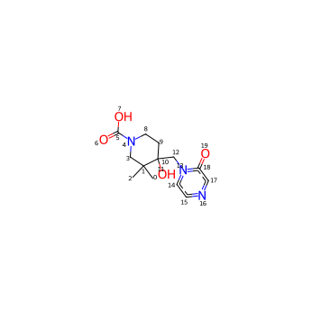 CC1(C)CN(C(=O)O)CCC1(O)Cn1ccncc1=O